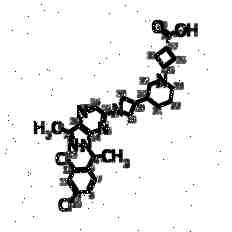 Cc1nn(C(C)c2ccc(Cl)cc2Cl)c2nc(N3CC(C4CCCN([C@H]5C[C@@H](C(=O)O)C5)C4)C3)cnc12